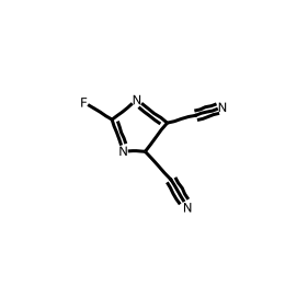 N#CC1=NC(F)=NC1C#N